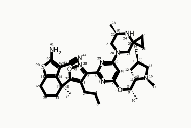 CCCc1c(-c2nc(O[C@@H](C)[C@@H]3C[C@@H](F)CN3C)cc(N3C[C@@H](C)NC4(CC4)C3)n2)noc1[C@@]1(C)CCCc2sc(N)c(C#N)c21